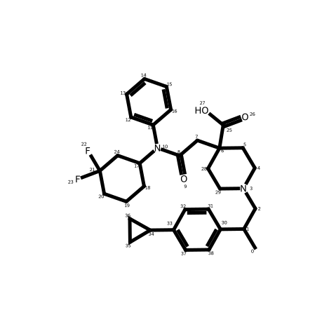 CC(CN1CCC(CC(=O)N(c2ccccc2)C2CCCC(F)(F)C2)(C(=O)O)CC1)c1ccc(C2CC2)cc1